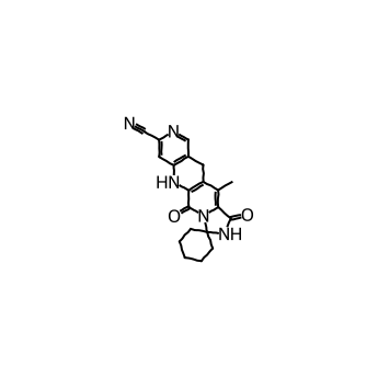 Cc1c2c(c(=O)n3c1C(=O)NC31CCCCC1)Nc1cc(C#N)ncc1C2